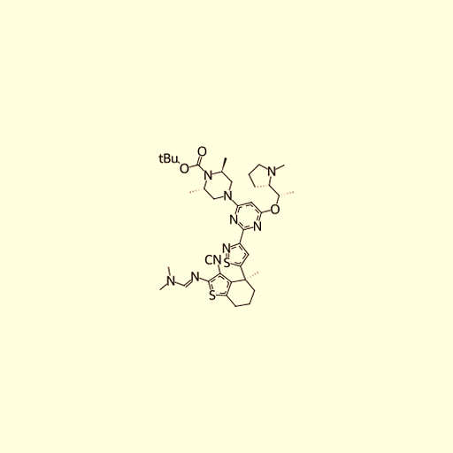 C[C@H](Oc1cc(N2C[C@H](C)N(C(=O)OC(C)(C)C)[C@@H](C)C2)nc(-c2cc([C@@]3(C)CCCc4sc(/N=C/N(C)C)c(C#N)c43)sn2)n1)[C@@H]1CCCN1C